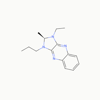 CCCN1c2nc3ccccc3nc2N(CC)[C@@H]1C